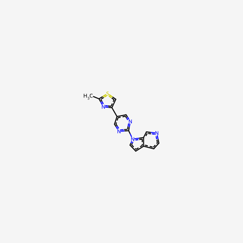 Cc1nc(-c2cnc(-n3ccc4ccncc43)nc2)cs1